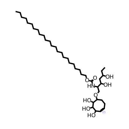 CCCCCCCCCCCCCCCCCCCCCCCCOC(=O)NC(COC1CC/C=C\C(O)C(O)C1O)C(O)CC(O)CC